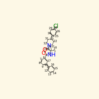 CCC(NC(=O)c1cccc(-c2ccccc2)c1)C(=O)N1CCC(c2ccc(Cl)cc2)CC1